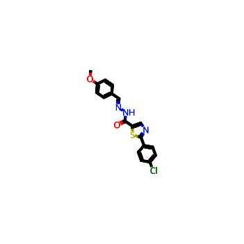 COc1ccc(/C=N/NC(=O)c2cnc(-c3ccc(Cl)cc3)s2)cc1